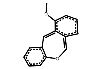 COc1cccc2c1=Cc1ccccc1OC=2